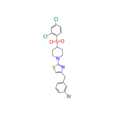 O=S(=O)(c1ccc(Cl)cc1Cl)C1CCN(c2nc(Cc3cccc(Br)c3)cs2)CC1